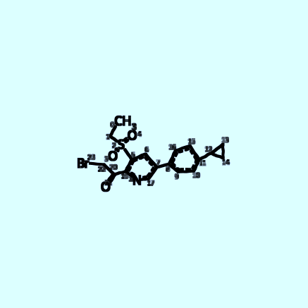 CCS(=O)(=O)c1cc(-c2ccc(C3CC3)cc2)cnc1C(=O)CBr